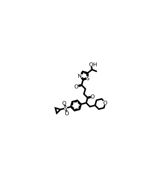 CC(O)c1cnc(C(=O)CCC(=O)C(CC2CCOCC2)c2ccc(S(=O)(=O)C3CC3)cc2)s1